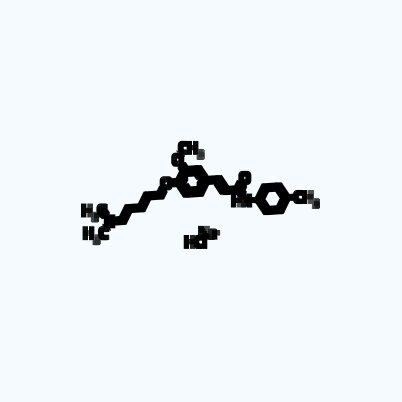 COc1cc(C=CC(=O)N[C@H]2CC[C@H](C)CC2)ccc1OCCCCCN(C)C.Cl.[Na]